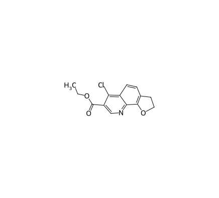 CCOC(=O)c1cnc2c3c(ccc2c1Cl)CCO3